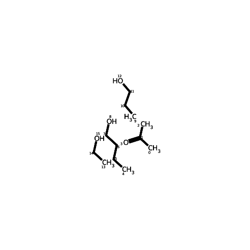 CC(C)=O.CCCCO.CCCO.CCO